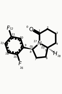 O=C1CCC[C@H]2CC[C@@H](c3cc(F)ccc3F)N12